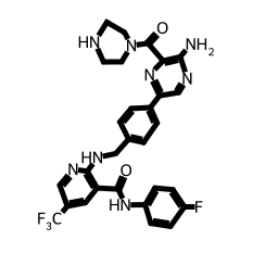 Nc1ncc(-c2ccc(CNc3ncc(C(F)(F)F)cc3C(=O)Nc3ccc(F)cc3)cc2)nc1C(=O)N1CCNCC1